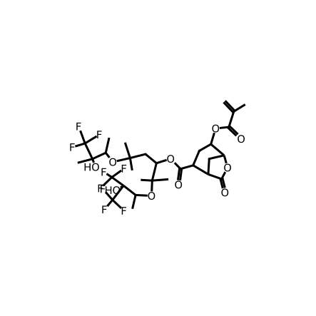 C=C(C)C(=O)OC1CC(C(=O)OC(CC(C)(C)OC(C)C(C)(O)C(F)(F)F)C(C)(C)OC(C)C(O)(C(F)(F)F)C(F)(F)F)C2CC1OC2=O